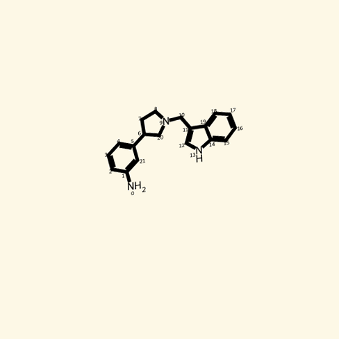 Nc1cccc(C2CCN(Cc3c[nH]c4ccccc34)C2)c1